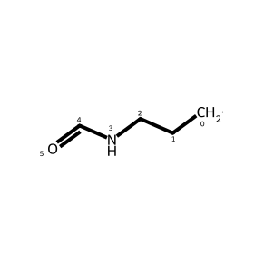 [CH2]CCNC=O